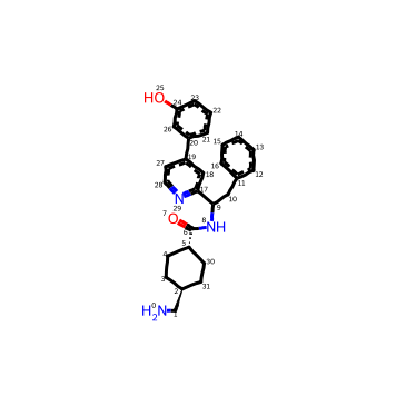 NC[C@H]1CC[C@H](C(=O)NC(Cc2ccccc2)c2cc(-c3cccc(O)c3)ccn2)CC1